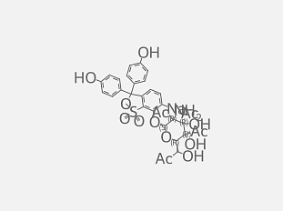 CC(=O)C(O)[C@H]1O[C@@H](Oc2[c]([Na])ccc3c2S(=O)(=O)OC3(c2ccc(O)cc2)c2ccc(O)cc2)[C@@](N)(C(C)=O)[C@](O)(C(C)=O)[C@@]1(O)C(C)=O